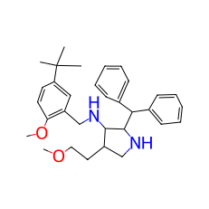 COCCC1CNC(C(c2ccccc2)c2ccccc2)C1NCc1cc(C(C)(C)C)ccc1OC